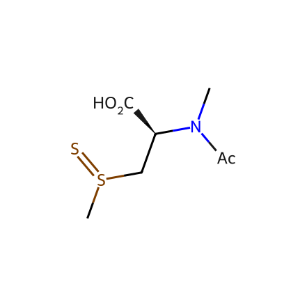 CC(=O)N(C)[C@@H](CS(C)=S)C(=O)O